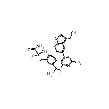 CCc1coc2ccc(-c3cc(NC(C)c4cccc(OC(C)(C)C(N)=O)c4)nc(C)n3)cc12